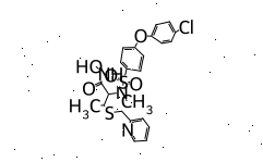 CC(SCc1ccccn1)C(C(=O)NO)N(C)S(=O)(=O)c1ccc(Oc2ccc(Cl)cc2)cc1